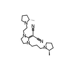 C[C@@H]1CCCN1CCCN1CCN(CCN2CCC[C@@H]2C)C1=C(C#N)C#N